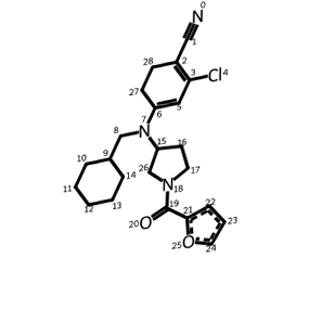 N#CC1=C(Cl)C=C(N(CC2CCCCC2)C2CCN(C(=O)c3ccco3)C2)CC1